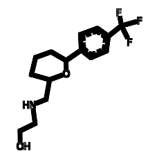 OCCNCC1CCCC(c2ccc(C(F)(F)F)cc2)O1